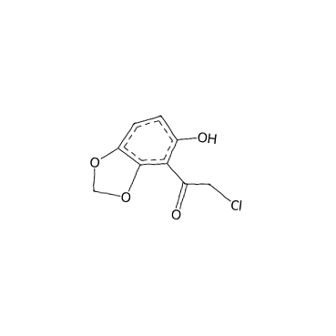 O=C(CCl)c1c(O)ccc2c1OCO2